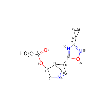 O=C(O)C(=O)OC1CN2CC(c3nc(C4CC4)no3)C1C2